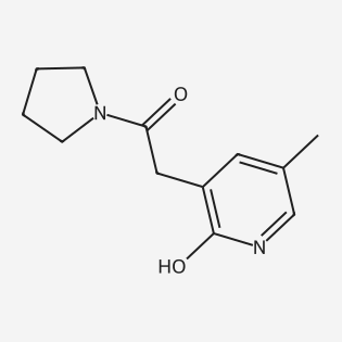 Cc1cnc(O)c(CC(=O)N2CCCC2)c1